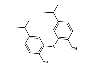 CC(C)c1ccc(O)c(Sc2cc(C(C)C)ccc2O)c1